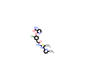 Cc1cccc(-c2nc(NC(=O)Cc3ccc(Oc4ncccc4C(N)=O)c(Cl)c3)sc2C)n1